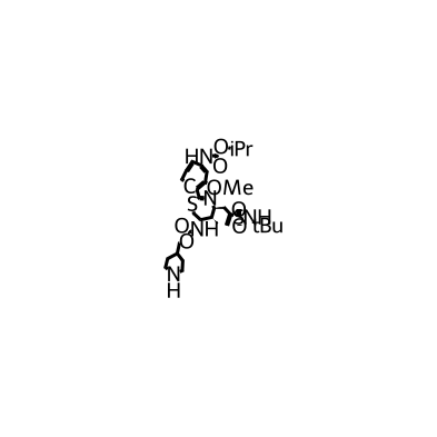 C=C(C[C@@H]1N=C(/C2=C(OC)/C=C(NC(=O)OC(C)C)\C=C/CC2)SCC(NC(=O)OCC2CCNCC2)[C@H]1C)S(=O)(=O)NC(C)(C)C